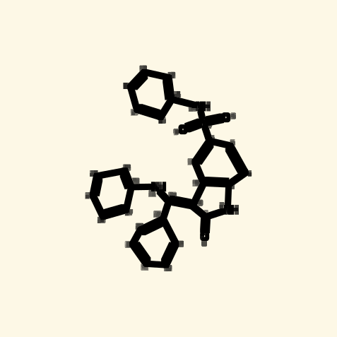 O=C1Nc2ccc(S(=O)(=O)Nc3ccccc3)cc2C1=C(Nc1ccccc1)c1ccccc1